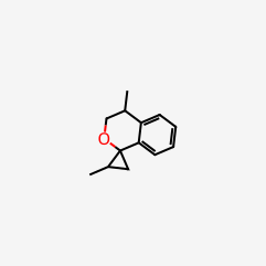 CC1COC2(CC2C)c2ccccc21